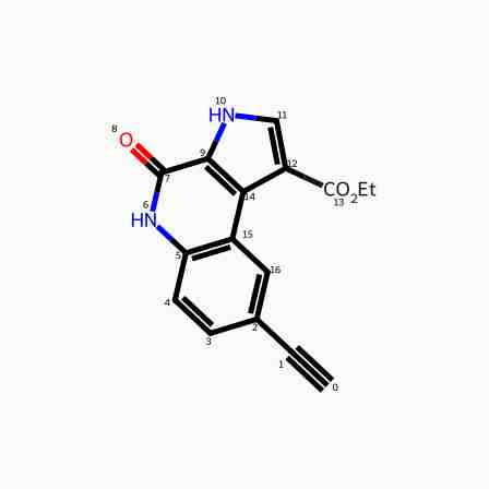 C#Cc1ccc2[nH]c(=O)c3[nH]cc(C(=O)OCC)c3c2c1